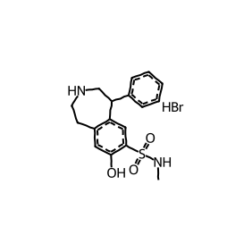 Br.CNS(=O)(=O)c1cc2c(cc1O)CCNCC2c1ccccc1